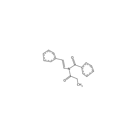 CCC(=O)N(C=Cc1ccccc1)C(=O)c1ccccc1